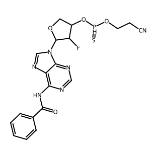 N#CCCO[PH](=S)OC1COC(n2cnc3c(NC(=O)c4ccccc4)ncnc32)C1F